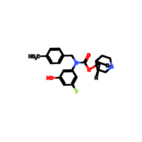 O=C(O)c1ccc(CN(C(=O)O[C@H]2CN3CCC2CC3)c2cc(O)cc(F)c2)cc1